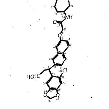 O=C(O)CC(c1ccc2ccc(OCC(=O)NC3CCCCCC3)cc2c1)c1cc2c(cc1Cl)OCO2